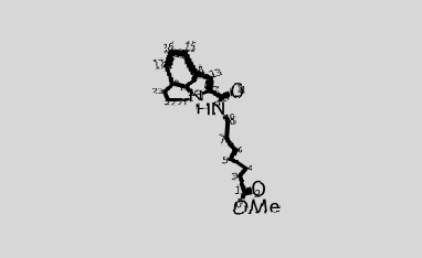 COC(=O)CCCCCCNC(=O)c1cc2cccc3c2n1CCC3